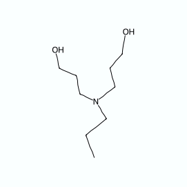 CCCN(CCCO)CCCO